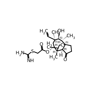 C=C[C@]1(C)C[C@@H](OC(=O)CSC(=N)N)[C@]2(C)C(C)CC[C@]3(CCC(=O)[C@H]32)[C@@H](C)[C@@H]1O